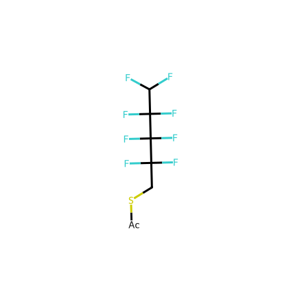 CC(=O)SCC(F)(F)C(F)(F)C(F)(F)C(F)F